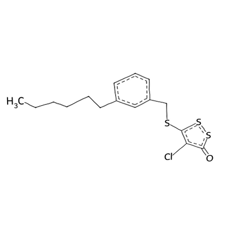 CCCCCCc1cccc(CSc2ssc(=O)c2Cl)c1